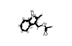 CC(=O)OCc1c(C)[nH]c2ccccc12